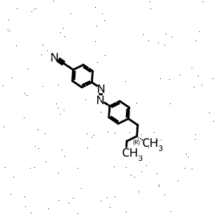 CC[C@@H](C)Cc1ccc(N=Nc2ccc(C#N)cc2)cc1